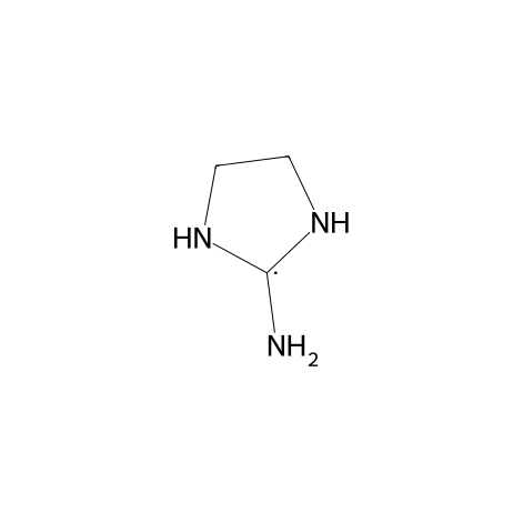 N[C]1NCCN1